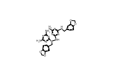 Nc1nc(NCc2ccc3c(c2)OCO3)nc(NN(Cc2ccc3c(c2)OCO3)c2nc(N)nc(N)n2)n1